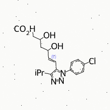 CC(C)c1nnn(-c2ccc(Cl)cc2)c1/C=C/C(O)CC(O)CC(=O)O